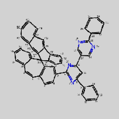 C1=Cc2ccc(-c3nc(-c4ccccc4)cc(-c4cnc(-c5ccccc5)nc4)n3)cc2C2(c3ccccc31)c1ccccc1-c1cc3ccccc3cc12